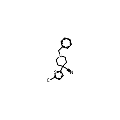 N#CC1(c2ccc(Cl)s2)CCN(Cc2ccccc2)CC1